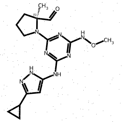 CONc1nc(Nc2cc(C3CC3)n[nH]2)nc(N2CCC[C@@]2(C)C=O)n1